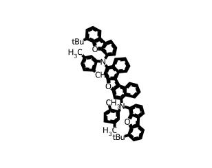 Cc1ccc(C)c(N(c2cc3oc4cc(N(c5cc(C)ccc5C)c5cccc6c5oc5c(C(C)(C)C)cccc56)c5ccccc5c4c3c3ccccc23)c2cccc3c2oc2c(C(C)(C)C)cccc23)c1